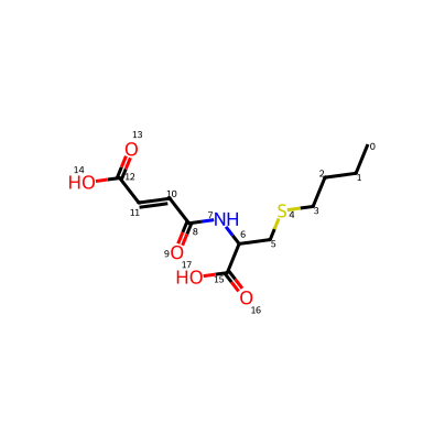 CCCCSCC(NC(=O)C=CC(=O)O)C(=O)O